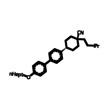 CCCCCCCOc1ccc(-c2ccc([C@H]3CC[C@@](C#N)(CCC(C)C)CC3)cc2)cc1